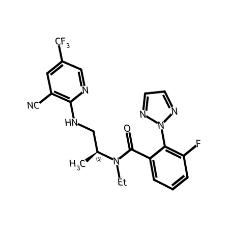 CCN(C(=O)c1cccc(F)c1-n1nccn1)[C@@H](C)CNc1ncc(C(F)(F)F)cc1C#N